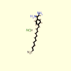 CCCCCCCCCCCCc1ccc(C(N)CN)cc1.Cl